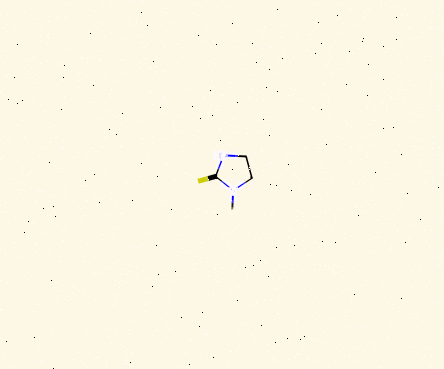 CCN1CCNC1=S